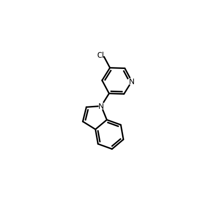 Clc1cncc(-n2ccc3ccccc32)c1